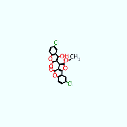 CCOC1Oc2c(c(=O)oc3ccc(Cl)cc23)C1c1c(O)c2cc(Cl)ccc2oc1=O